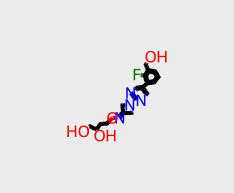 OCc1cccc(-c2cnc(N3CC(=NOCCC(O)CO)C3)nc2)c1F